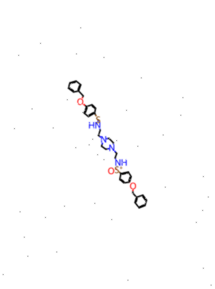 [O-][S+](NCCN1CCN(CCNSc2ccc(OCc3ccccc3)cc2)CC1)c1ccc(OCc2ccccc2)cc1